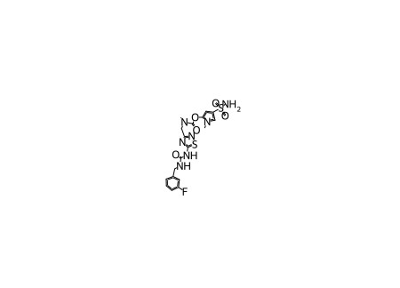 CN(Cc1nsc(NC(=O)NCc2cccc(F)c2)n1)C(=O)Oc1cc(S(N)(=O)=O)cn1C